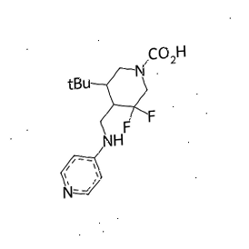 CC(C)(C)C1CN(C(=O)O)CC(F)(F)C1CNc1ccncc1